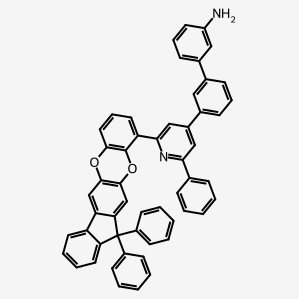 Nc1cccc(-c2cccc(-c3cc(-c4ccccc4)nc(-c4cccc5c4Oc4cc6c(cc4O5)-c4ccccc4C6(c4ccccc4)c4ccccc4)c3)c2)c1